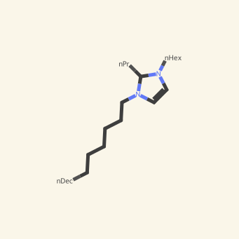 CCCCCCCCCCCCCCCCN1C=CN(CCCCCC)C1CCC